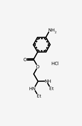 CCNC(COC(=O)c1ccc(N)cc1)NCC.Cl